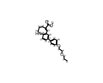 CCCOCCOc1ccc(-c2ccc3c(c2)C=C(C(=O)OC)CCCN3)cc1